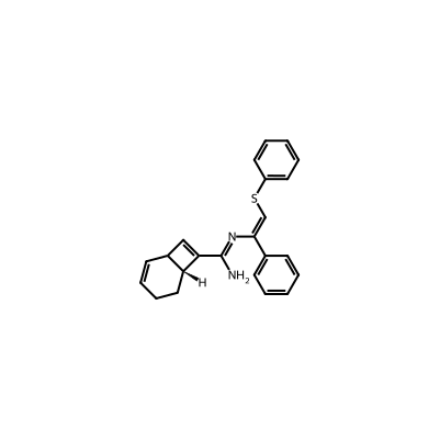 N/C(=N\C(=C/Sc1ccccc1)c1ccccc1)C1=CC2C=CCC[C@@H]12